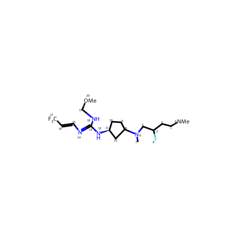 CNCCC(F)CN(C)C1CC[C@H](N/C(=N/C=C/C(F)(F)F)NCOC)C1